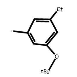 [CH2]c1cc(CC)cc(OCCCC)c1